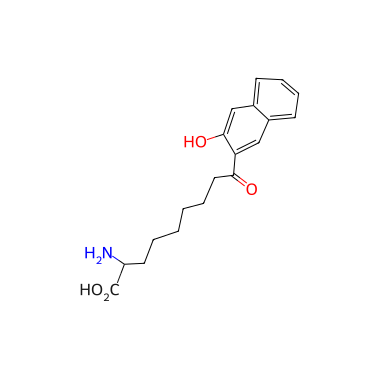 NC(CCCCCCC(=O)c1cc2ccccc2cc1O)C(=O)O